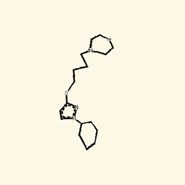 c1cn(C2CCCCC2)nc1OCCCCN1CC[N]CC1